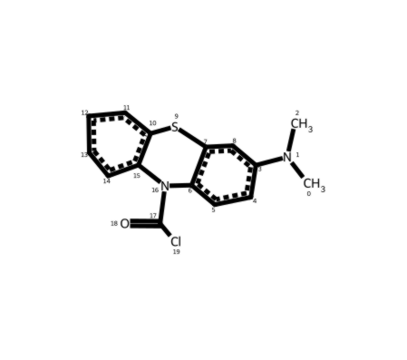 CN(C)c1ccc2c(c1)Sc1ccccc1N2C(=O)Cl